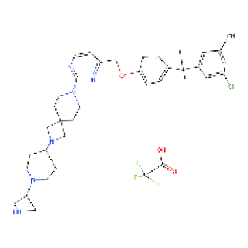 CC(C)(c1ccc(OCc2ccnc(N3CCC4(CC3)CN(C3CCN(C5CNC5)CC3)C4)n2)cc1)c1cc(Cl)cc(C#N)c1.O=C(O)C(F)(F)F